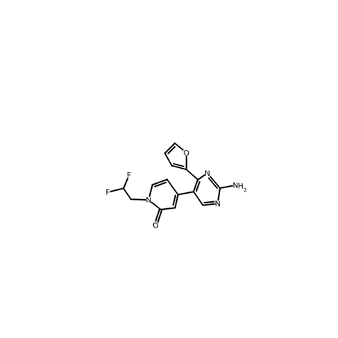 Nc1ncc(-c2ccn(CC(F)F)c(=O)c2)c(-c2ccco2)n1